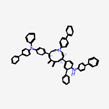 C=C1/C=C(C2=CC(c3ccccc3)C(Nc3ccc(-c4ccccc4)cc3)C=C2)\C=C/N(c2ccc(-c3ccccc3)cc2)/C=C\C(C2=CC=C(N(c3ccccc3)c3ccc(-c4ccccc4)cc3)CC2)=C/C1=C